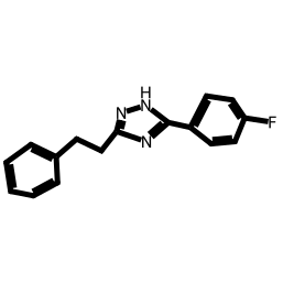 Fc1ccc(-c2nc(CCc3ccccc3)n[nH]2)cc1